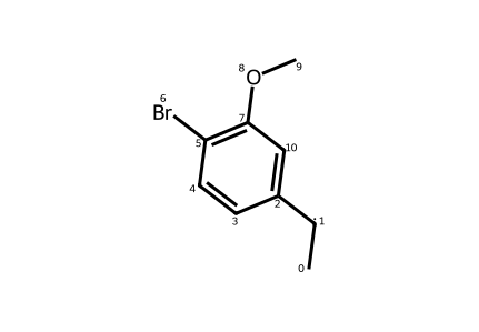 C[CH]c1ccc(Br)c(OC)c1